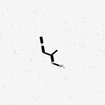 C=C=C/C(C)=N/N